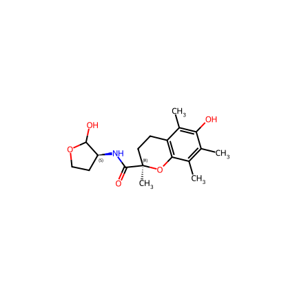 Cc1c(C)c2c(c(C)c1O)CC[C@](C)(C(=O)N[C@H]1CCOC1O)O2